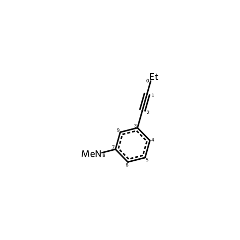 CCC#Cc1cccc(NC)c1